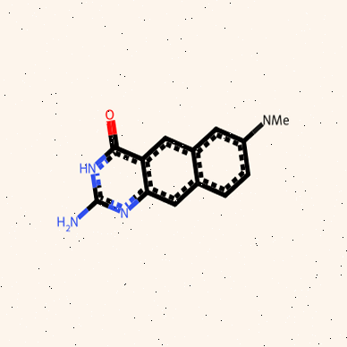 CNc1ccc2cc3nc(N)[nH]c(=O)c3cc2c1